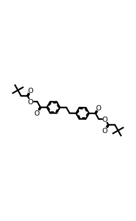 CC(C)(C)CC(=O)OCC(=O)c1ccc(CCc2ccc(C(=O)COC(=O)CC(C)(C)C)cc2)cc1